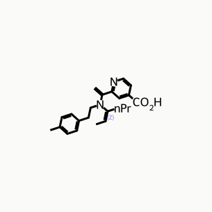 C=C(c1cc(C(=O)O)ccn1)N(CCc1ccc(C)cc1)/C(=C\C)CCC